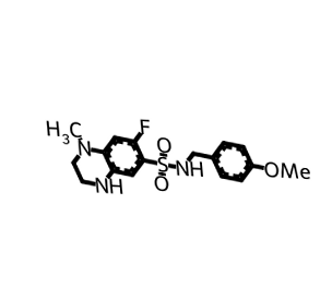 COc1ccc(CNS(=O)(=O)c2cc3c(cc2F)N(C)CCN3)cc1